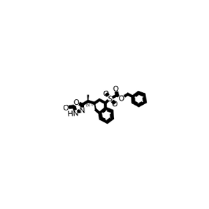 C[C@H](c1n[nH]c(=O)o1)[C@@H]1Cc2ccccc2C(S(=O)(=O)C(=O)OCc2ccccc2)C1